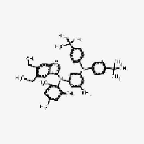 CCc1cc2occ(N(c3cc(C)cc(N(c4ccc(C(C)(C)C)cc4)c4ccc(C(C)(C)C)cc4)c3)c3c(C)cc(C)cc3C)c2cc1CC